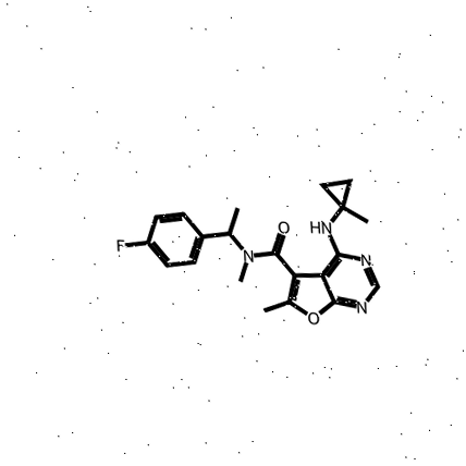 Cc1oc2ncnc(NC3(C)CC3)c2c1C(=O)N(C)C(C)c1ccc(F)cc1